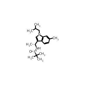 Cc1ccc2c([C@@H](C)N[S@@+]([O-])C(C)(C)C)cn(CC(C)C)c2c1